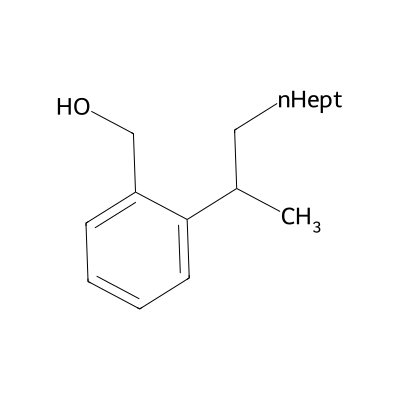 CCCCCCCCC(C)c1ccccc1CO